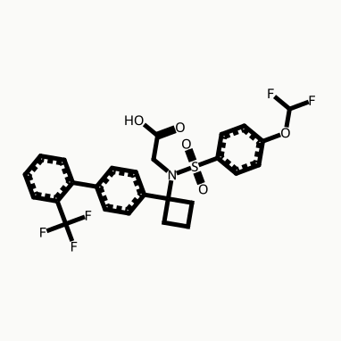 O=C(O)CN(C1(c2ccc(-c3ccccc3C(F)(F)F)cc2)CCC1)S(=O)(=O)c1ccc(OC(F)F)cc1